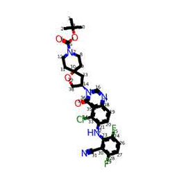 CC(C)(C)OC(=O)N1CCC2(CC1)C[C@@H](n1cnc3ccc(Nc4c(F)ccc(F)c4C#N)c(Cl)c3c1=O)CO2